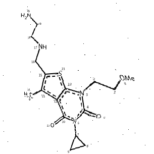 COCCn1c(=O)n(C2CC2)c(=O)c2c(C)c(CNCCN)sc21